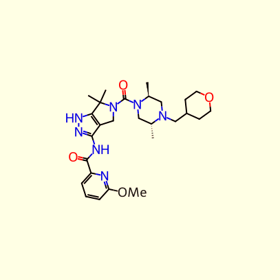 COc1cccc(C(=O)Nc2n[nH]c3c2CN(C(=O)N2C[C@@H](C)N(CC4CCOCC4)C[C@@H]2C)C3(C)C)n1